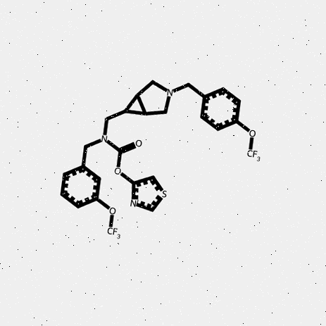 O=C(Oc1cscn1)N(Cc1cccc(OC(F)(F)F)c1)CC1C2CN(Cc3ccc(OC(F)(F)F)cc3)CC21